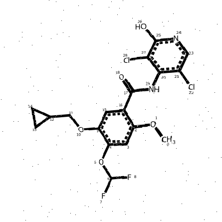 COc1cc(OC(F)F)c(OCC2CC2)cc1C(=O)Nc1c(Cl)cnc(O)c1Cl